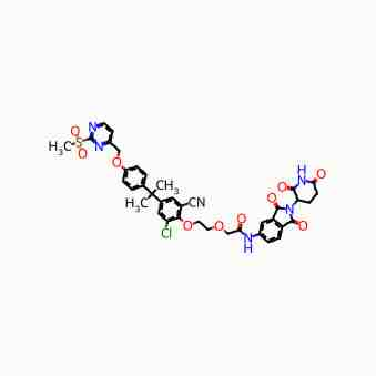 CC(C)(c1ccc(OCc2ccnc(S(C)(=O)=O)n2)cc1)c1cc(Cl)c(OCCOCC(=O)Nc2ccc3c(c2)C(=O)N(C2CCC(=O)NC2=O)C3=O)c(C#N)c1